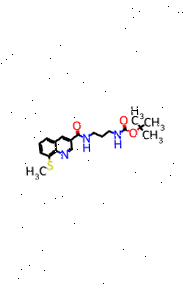 CSc1cccc2cc(C(=O)NCCCNC(=O)OC(C)(C)C)cnc12